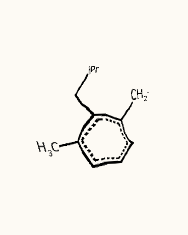 [CH2]c1cccc(C)c1CC(C)C